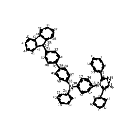 c1ccc(-c2nnc(-c3ccccc3)n2-c2ccc(N(c3ccccc3)c3ccc(-c4ccc(C5c6ccccc6-c6ccccc65)cc4)cc3)cc2)cc1